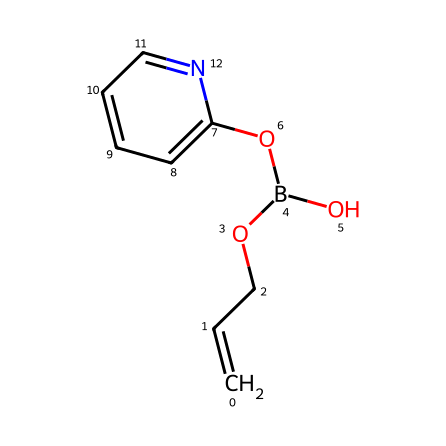 C=CCOB(O)Oc1ccccn1